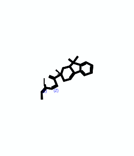 C=C(/C=C\C(I)=C/C)[C@@]1(C)CC=C2c3ccccc3C(C)(C)C2C1